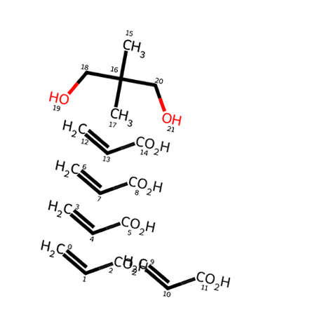 C=CC(=O)O.C=CC(=O)O.C=CC(=O)O.C=CC(=O)O.C=CC(=O)O.CC(C)(CO)CO